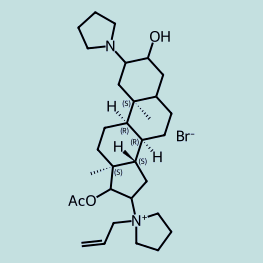 C=CC[N+]1(C2C[C@H]3[C@@H]4CCC5CC(O)C(N6CCCC6)C[C@]5(C)[C@@H]4CC[C@]3(C)C2OC(C)=O)CCCC1.[Br-]